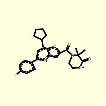 CC1(C)C(=O)NCCN1C(=O)c1cc2nc(-c3ccc(F)cc3)cc(C3CCCC3)c2o1